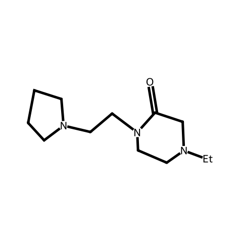 CCN1CCN(CCN2CCCC2)C(=O)C1